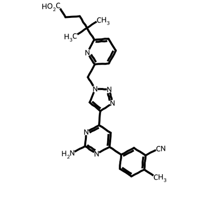 Cc1ccc(-c2cc(-c3cn(Cc4cccc(C(C)(C)CCC(=O)O)n4)nn3)nc(N)n2)cc1C#N